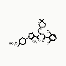 CC1(C)CC[C@@H](CN(CC(=O)c2c(Cl)cncc2Cl)C(=O)c2cnn([C@H]3CC[C@](C)(C(=O)O)CC3)c2C(F)(F)F)O1